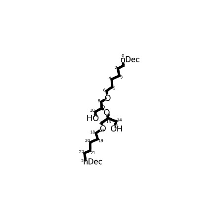 CCCCCCCCCCCCCCCCOCC(CO)OC(CO)COCCCCCCCCCCCCCCC